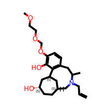 C=CCN1C[C@H]2CC[C@H](O)C[C@](C)(C2)c2c(ccc(OCOCCOC)c2O)CC1C